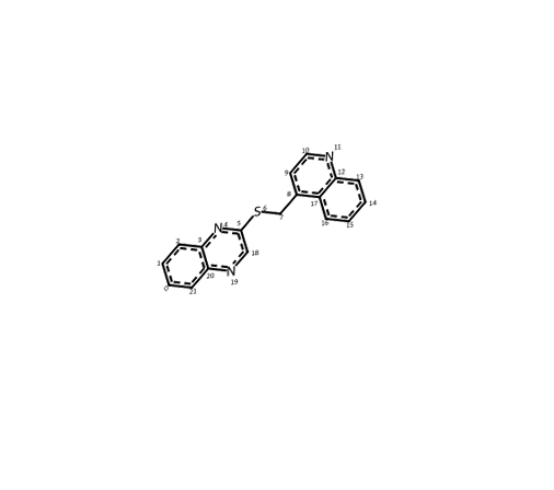 c1ccc2nc(SCc3ccnc4ccccc34)cnc2c1